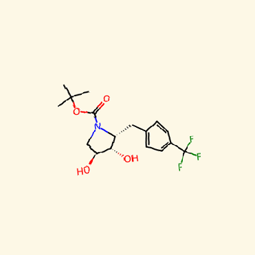 CC(C)(C)OC(=O)N1C[C@H](O)[C@@H](O)[C@H]1Cc1ccc(C(F)(F)F)cc1